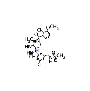 CN/C(=C1/CCN(C(=O)c2cccc(OC)c2Cl)[C@@H](C)C1=N)c1cc(Cl)cc(CNS(C)(=O)=O)c1